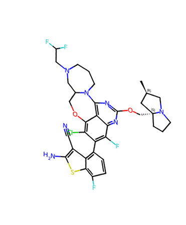 C[C@H]1CN2CCC[C@@]2(COc2nc3c4c(c(Cl)c(-c5ccc(F)c6sc(N)c(C#N)c56)c(F)c4n2)OCC2CN(CC(F)F)CCCN32)C1